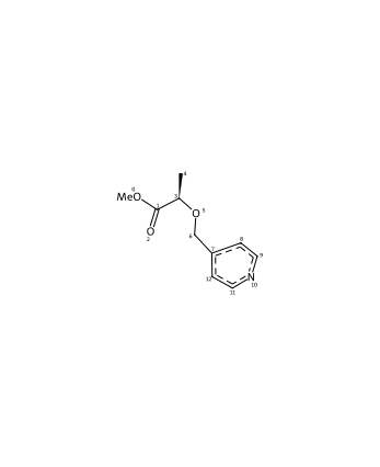 COC(=O)[C@@H](C)OCc1ccncc1